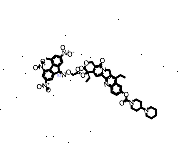 CCc1c2c(nc3ccc(OC(=O)N4CCC(N5CCCCC5)CC4)cc13)-c1cc3c(c(=O)n1C2)COC(=O)[C@@]3(CC)OC(=O)CO/N=C1\c2cc([N+](=O)[O-])cc(C)c2-c2c1cc([N+](=O)[O-])cc2[N+](=O)[O-]